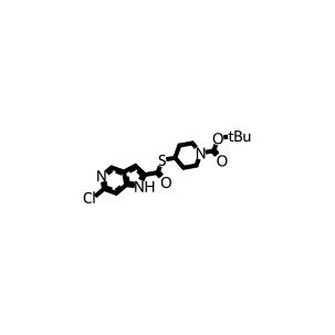 CC(C)(C)OC(=O)N1CCC(SC(=O)c2cc3cnc(Cl)cc3[nH]2)CC1